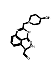 O=CC1NN=C2NC(CN3CCC(O)CC3)=Nc3cccc1c32